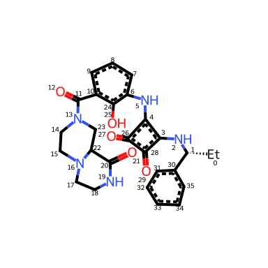 CC[C@@H](Nc1c(Nc2cccc(C(=O)N3CCN4CCNC(=O)C4C3)c2O)c(=O)c1=O)c1ccccc1